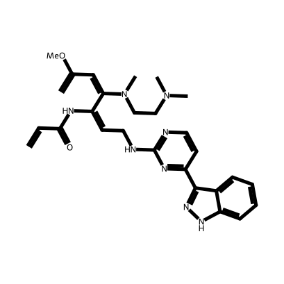 C=CC(=O)NC(=C/CNc1nccc(-c2n[nH]c3ccccc23)n1)/C(=C\C(=C)OC)N(C)CCN(C)C